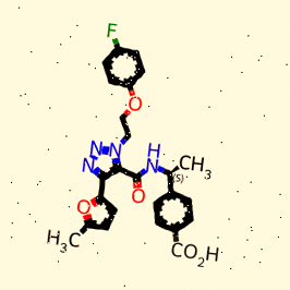 Cc1ccc(-c2nnn(CCOc3ccc(F)cc3)c2C(=O)N[C@@H](C)c2ccc(C(=O)O)cc2)o1